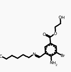 CCCCCCN=Cc1cc(C(=O)OCCO)cc(Br)c1N